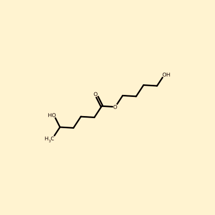 CC(O)CCCC(=O)OCCCCO